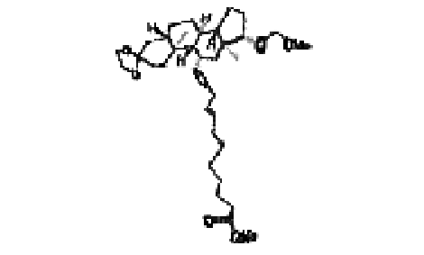 COCO[C@H]1CC[C@H]2[C@@H]3CC[C@H]4CC5(CC[C@]4(C)[C@H]3[C@@H](OCC=CCCCCCCC(=O)OC)C[C@]12C)OCCO5